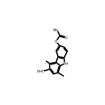 Cc1cc(C=O)c(C)c2c1[nH]c1ccc(OC(=O)C(C)(C)C)cc12